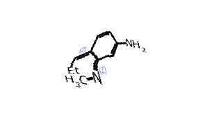 CC/C=C1/C=CC(N)=C/C1=N/C